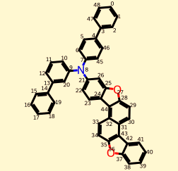 c1ccc(-c2ccc(N(c3cccc(-c4ccccc4)c3)c3ccc4c(c3)oc3ccc5c(ccc6oc7ccccc7c65)c34)cc2)cc1